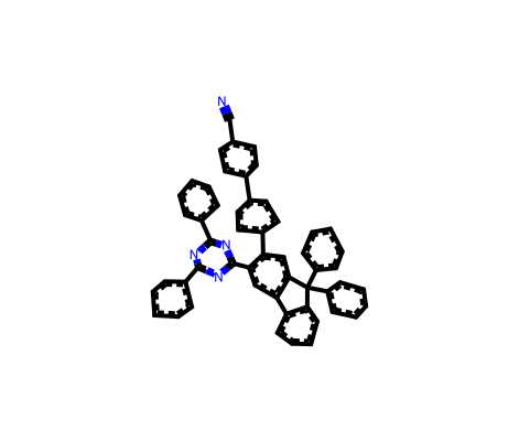 N#Cc1ccc(-c2ccc(-c3cc4c(cc3-c3nc(-c5ccccc5)nc(-c5ccccc5)n3)-c3ccccc3C4(c3ccccc3)c3ccccc3)cc2)cc1